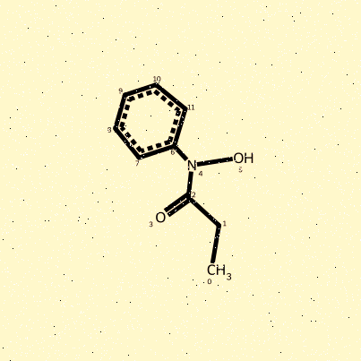 CCC(=O)N(O)c1c[c]ccc1